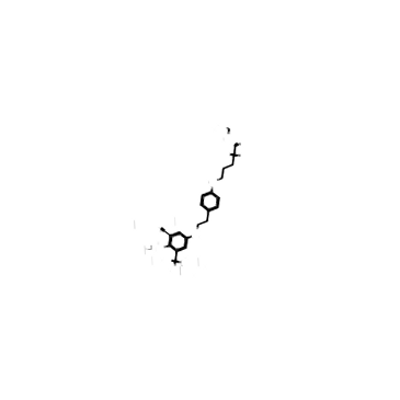 CCOC(=O)C(C)(C)CCCOc1ccc(CCSc2cc(C(C)(C)C)c(O)c(C(C)(C)C)c2)cc1